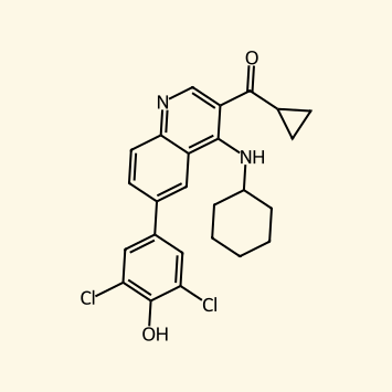 O=C(c1cnc2ccc(-c3cc(Cl)c(O)c(Cl)c3)cc2c1NC1CCCCC1)C1CC1